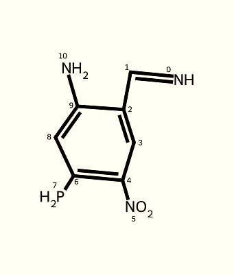 N=Cc1cc([N+](=O)[O-])c(P)cc1N